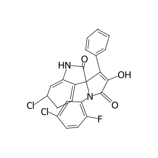 O=C1C(O)=C(c2ccccc2)C2(C(=O)NC3=CC(Cl)CC=C32)N1c1cc(Cl)ccc1F